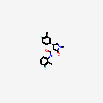 Cc1cc([C@H]2CN(C)C(=O)[C@@H]2C(=O)Nc2cccc(F)c2C)ccc1F